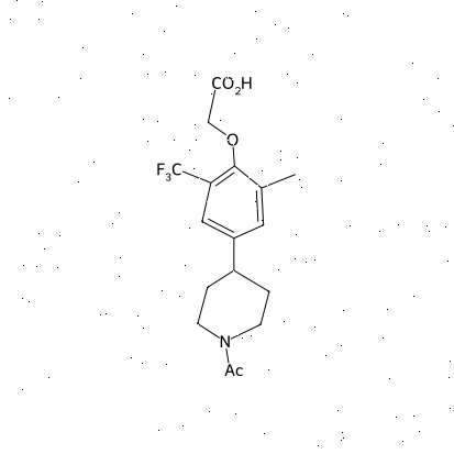 CC(=O)N1CCC(c2cc(C)c(OCC(=O)O)c(C(F)(F)F)c2)CC1